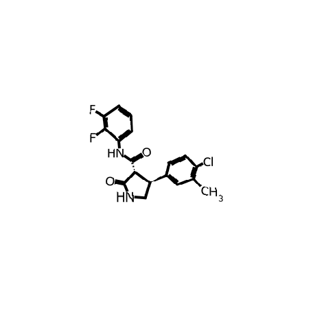 Cc1cc([C@H]2CNC(=O)[C@@H]2C(=O)Nc2cccc(F)c2F)ccc1Cl